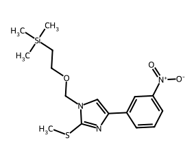 CSc1nc(-c2cccc([N+](=O)[O-])c2)cn1COCC[Si](C)(C)C